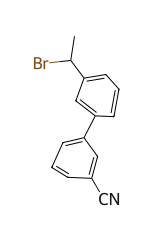 CC(Br)c1cccc(-c2cccc(C#N)c2)c1